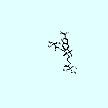 CC(C)(C)C(=O)OCOP(=O)(OCOC(=O)C(C)(C)C)C(F)(F)c1ccc2sc(C(=O)O)cc2c1